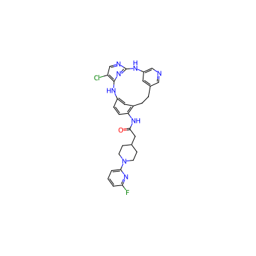 O=C(CC1CCN(c2cccc(F)n2)CC1)Nc1ccc2cc1CCc1cncc(c1)Nc1ncc(Cl)c(n1)N2